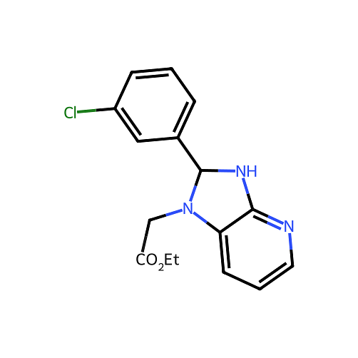 CCOC(=O)CN1c2cccnc2NC1c1cccc(Cl)c1